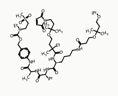 CCN(CCS(C)(=O)=O)C(=O)OCc1ccc(NC(=O)[C@H](C)NC(=O)[C@@H](NC(=O)[C@H](CCCCNC(=O)CCOC(C)(C)CCOC(C)C)NC(=O)C(C)(CC)CCOC(C)(C)CCN2C(=O)C=CC2=O)C(C)C)cc1